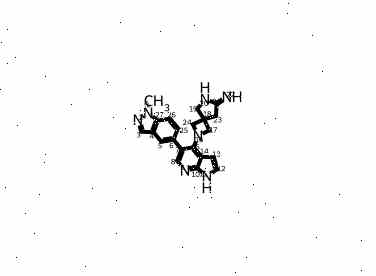 Cn1ncc2cc(-c3cnc4[nH]ccc4c3N3CC4(CNC(=N)C4)C3)ccc21